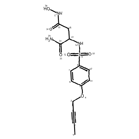 CC#CCOc1ccc(S(=O)(=O)NC(CC(=O)NO)C(N)=O)cc1